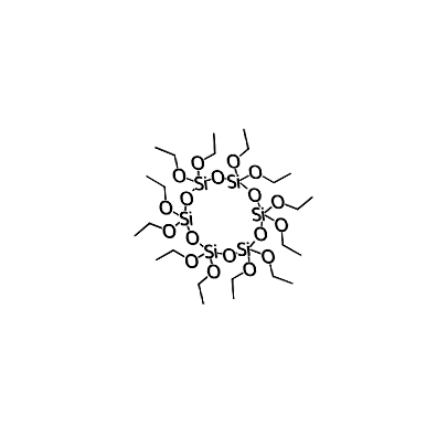 CCO[Si]1(OCC)O[Si](OCC)(OCC)O[Si](OCC)(OCC)O[Si](OCC)(OCC)O[Si](OCC)(OCC)O[Si](OCC)(OCC)O1